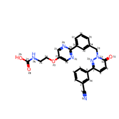 N#Cc1cccc(-c2ccc(=O)n(Cc3cccc(-c4ncc(OCCNC(=O)O)cn4)c3)n2)c1